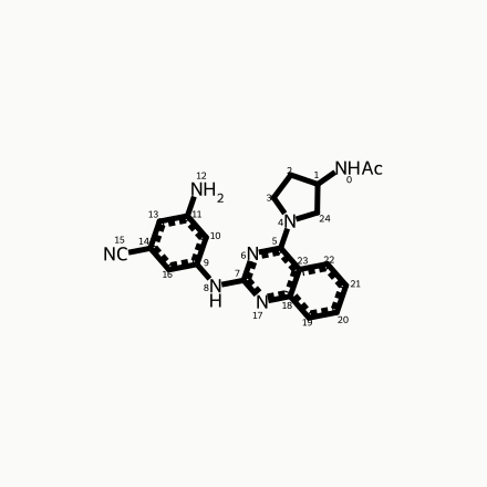 CC(=O)NC1CCN(c2nc(Nc3cc(N)cc(C#N)c3)nc3ccccc23)C1